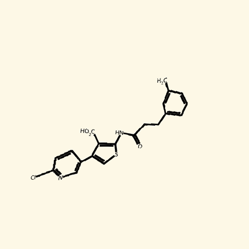 Cc1cccc(CCC(=O)Nc2scc(-c3ccc(Cl)nc3)c2C(=O)O)c1